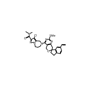 C=Cc1ccc2c(c1)C1(CC2)Cc2nc(SC)nc(N3CCCn4nc(C(=O)N(C)C)c(Cl)c4C3)c2CO1